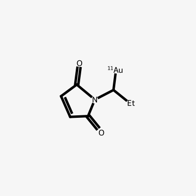 CC[CH]([11Au])N1C(=O)C=CC1=O